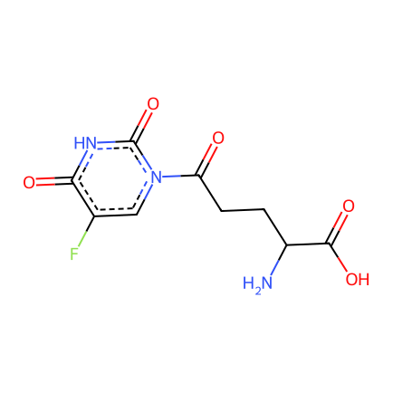 NC(CCC(=O)n1cc(F)c(=O)[nH]c1=O)C(=O)O